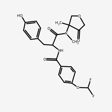 CN(C(=O)C(Cc1ccc(O)cc1)NC(=O)c1ccc(OC(F)F)cc1)C1(C)COCC1=O